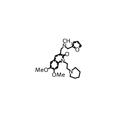 COc1cc2cc(CN(C)Cc3ccco3)c(=O)n(CCN3CCCCC3)c2cc1OC